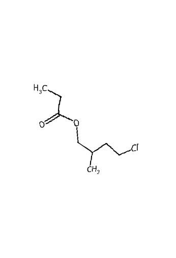 CCC(=O)OCC(C)CCCl